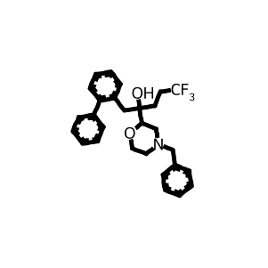 OC(CCC(F)(F)F)(Cc1ccccc1-c1ccccc1)C1CN(Cc2ccccc2)CCO1